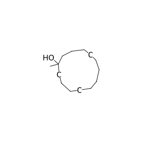 CC1(O)CCCCCCCCCCCC1